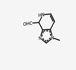 Cn1cnc2c1C=CNC2C=O